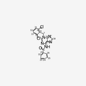 O=C(Nc1ncn(Cc2c(Cl)cccc2Cl)c2ncnc1-2)c1ccccc1